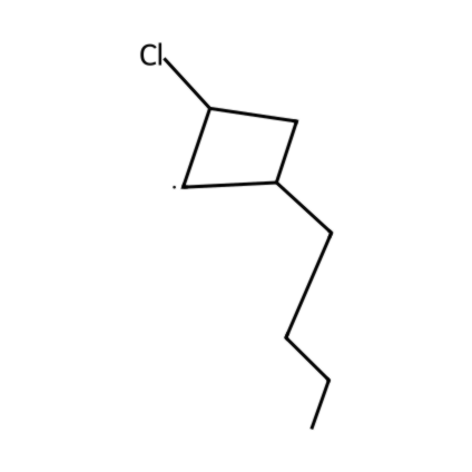 CCCCC1[CH]C(Cl)C1